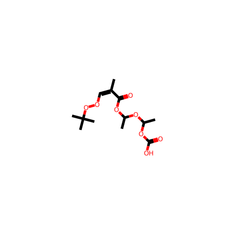 CC(=COOC(C)(C)C)C(=O)OC(C)OC(C)OC(=O)O